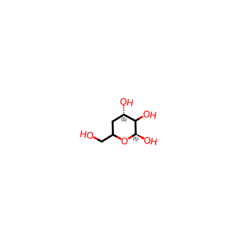 OCC1C[C@H](O)C(O)[C@@H](O)O1